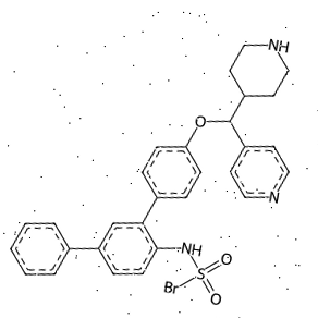 O=S(=O)(Br)Nc1ccc(-c2ccccc2)cc1-c1ccc(OC(c2ccncc2)C2CCNCC2)cc1